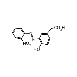 O=C(O)Cc1ccc(O)c(N=Nc2ccccc2[N+](=O)[O-])c1